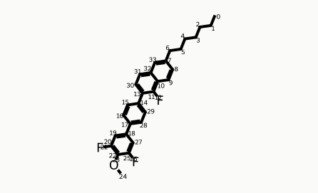 CCCCCCCc1ccc2c(F)c(-c3ccc(-c4cc(F)c(OC)c(F)c4)cc3)ccc2c1